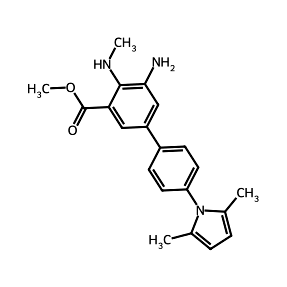 CNc1c(N)cc(-c2ccc(-n3c(C)ccc3C)cc2)cc1C(=O)OC